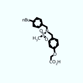 CCCCc1ccc(CN(Cc2ccc(OCC(=O)O)cc2)S(C)(=O)=O)cc1